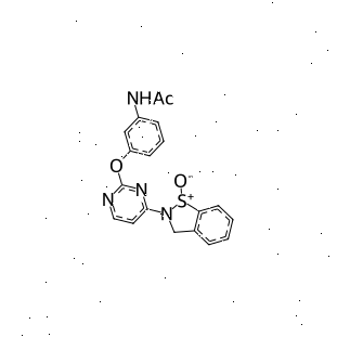 CC(=O)Nc1cccc(Oc2nccc(N3Cc4ccccc4[S+]3[O-])n2)c1